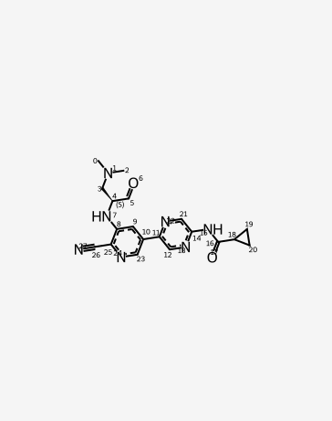 CN(C)C[C@@H](C=O)Nc1cc(-c2cnc(NC(=O)C3CC3)cn2)cnc1C#N